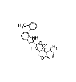 Cc1ccccc1-c1cccc2cc(C(=O)NC3COC4=CC=CC(C)C4=[N+]3[O-])[nH]c12